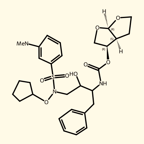 CNc1cccc(S(=O)(=O)N(CC(O)C(Cc2ccccc2)NC(=O)O[C@H]2CO[C@H]3OCC[C@H]32)OC2CCCC2)c1